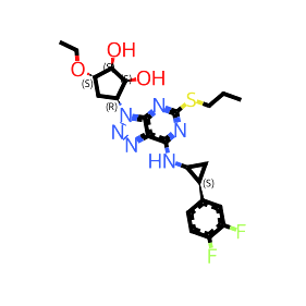 CCCSc1nc(NC2C[C@H]2c2ccc(F)c(F)c2)c2nnn([C@@H]3C[C@H](OCC)[C@@H](O)[C@H]3O)c2n1